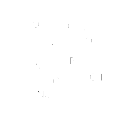 CC1(P(C)(=O)[O-])OCCS1.[Na+]